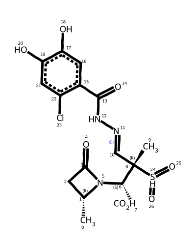 C[C@@H]1CC(=O)N1[C@@H](C(=O)O)[C@](C)(/C=N/NC(=O)c1cc(O)c(O)cc1Cl)[SH](=O)=O